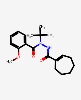 COc1ccccc1C(=O)N(NC(=O)C1=CCCCCC1)C(C)(C)C